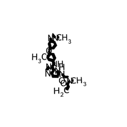 C=CC(=O)N(C)CC(=O)Nc1ccc2ncnc(Nc3ccc(Oc4ccc5c(c4)ncn5C)c(C)c3)c2n1